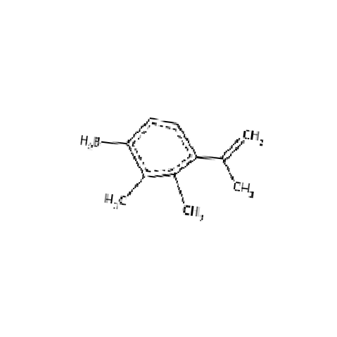 Bc1ccc(C(=C)C)c(C)c1C